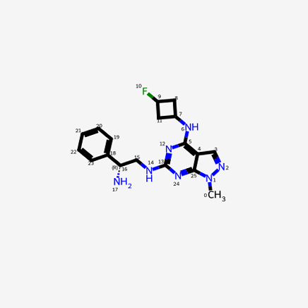 Cn1ncc2c(NC3CC(F)C3)nc(NC[C@H](N)c3ccccc3)nc21